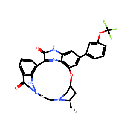 C[C@@H]1CC2CN1CCn1[nH]c3c(cccc3c1=O)-c1nc3c(cc(-c4cccc(OC(F)(F)F)c4)cc3[nH]c1=O)O2